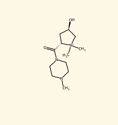 CN1CCN(C(=O)[C@@H]2C[C@@H](O)C[N+]2(C)C)CC1